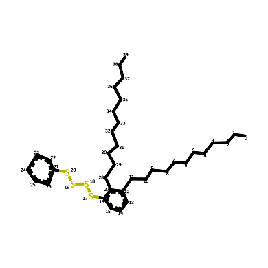 CCCCCCCCCCCCc1cccc(SSSSc2ccccc2)c1CCCCCCCCCCCC